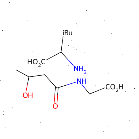 CC(O)CC(=O)NCC(=O)O.CCC(C)C(N)C(=O)O